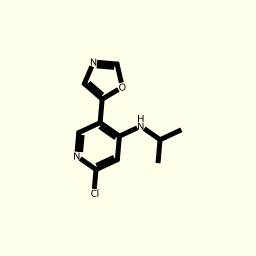 CC(C)Nc1cc(Cl)ncc1-c1cnco1